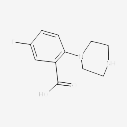 O=C(O)c1cc(F)ccc1N1CCNCC1